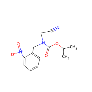 CC(C)OC(=O)N(CC#N)Cc1ccccc1[N+](=O)[O-]